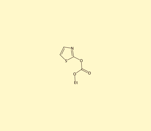 CCOC(=O)Oc1nccs1